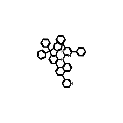 c1ccc(-c2cc(-c3ccccc3)nc(N3c4c(ccc5c4-c4ccccc4C5(c4ccccc4)c4ccccc4)-c4ccc(-c5cccnc5)c5cccc3c45)n2)cc1